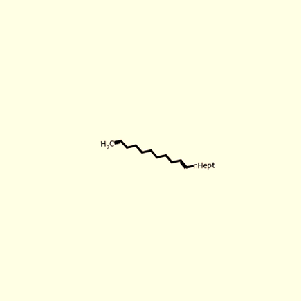 C=CCCCCCCCC=CCCCCCCC